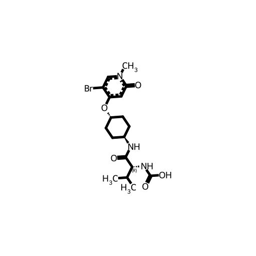 CC(C)[C@@H](NC(=O)O)C(=O)N[C@H]1CC[C@H](Oc2cc(=O)n(C)cc2Br)CC1